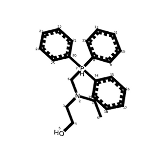 CCN(CCO)C[PH](c1ccccc1)(c1ccccc1)c1ccccc1